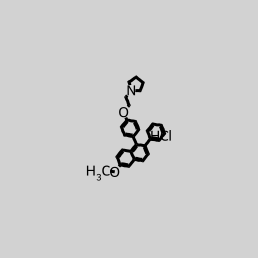 COc1ccc2c(-c3ccc(OCCN4CCCC4)cc3)c(-c3ccccc3)ccc2c1.Cl